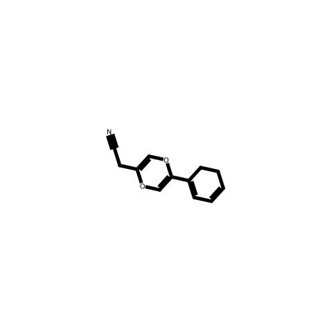 N#CCC1=COC(C2=CC=CCC2)=CO1